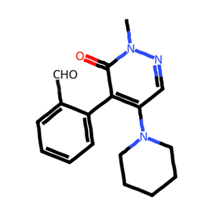 Cn1ncc(N2CCCCC2)c(-c2ccccc2C=O)c1=O